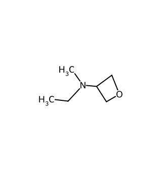 CCN(C)C1COC1